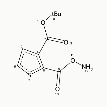 CC(C)(C)OC(=O)c1ccsc1C(=O)ON